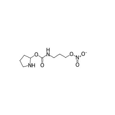 O=C(NCCCO[N+](=O)[O-])OC1CCCN1